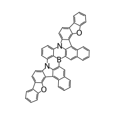 c1cc2c3c(c1)-n1c4ccc5c6ccccc6oc5c4c4c5ccccc5cc(c41)B3c1cc3ccccc3c3c4c5oc6ccccc6c5ccc4n-2c13